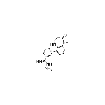 N=C(NN)c1cccc(-c2cccc3c2NCCC(=O)N3)c1